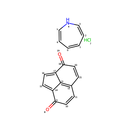 C1=CC=CNC=C1.Cl.O=C1C=CC2=C3C1=CC=C3C(=O)C=C2